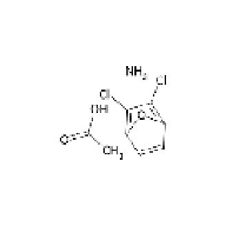 CC(=O)O.Clc1c(Cl)c2ccc1o2.N